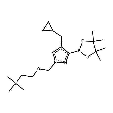 CC1(C)OB(c2nn(COCC[Si](C)(C)C)cc2CC2CC2)OC1(C)C